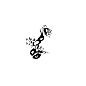 CC[C@](C)(CN)Oc1ccc2c(c1)N(C)[C@@H](C(C)C)C(=O)N[C@H](CCO[Si](c1ccccc1)(c1ccccc1)C(C)(C)C)C2